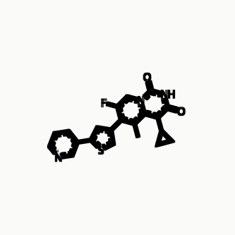 Cc1c(-c2csc(-c3cccnc3)c2)c(F)cn2c(=O)[nH]c(=O)c(C3CC3)c12